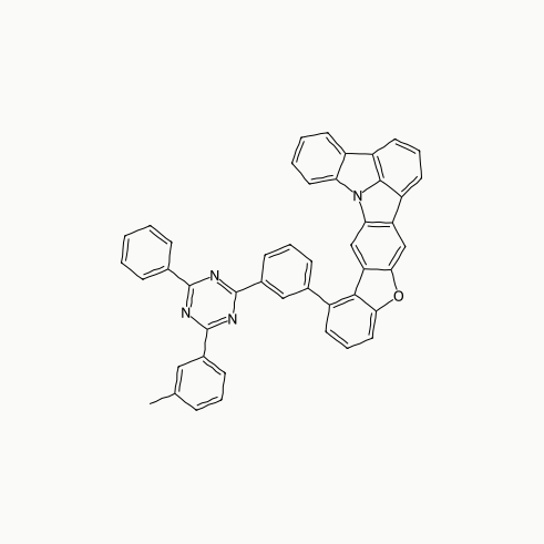 Cc1cccc(-c2nc(-c3ccccc3)nc(-c3cccc(-c4cccc5oc6cc7c8cccc9c%10ccccc%10n(c7cc6c45)c98)c3)n2)c1